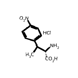 CC(c1ccc([N+](=O)[O-])cc1)[C@H](N)C(=O)O.Cl